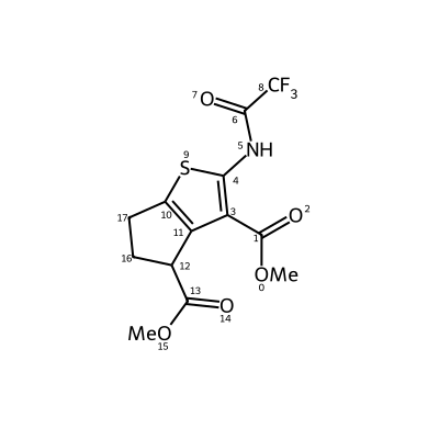 COC(=O)c1c(NC(=O)C(F)(F)F)sc2c1C(C(=O)OC)CC2